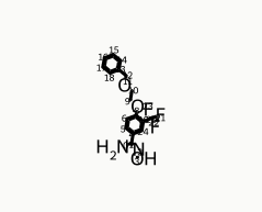 N/C(=N\O)c1ccc(OCCOCc2ccccc2)c(C(F)(F)F)c1